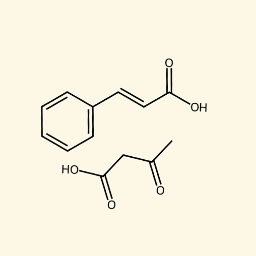 CC(=O)CC(=O)O.O=C(O)/C=C/c1ccccc1